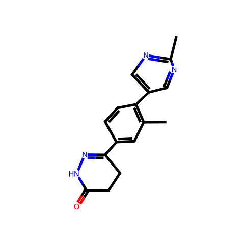 Cc1ncc(-c2ccc(C3=NNC(=O)CC3)cc2C)cn1